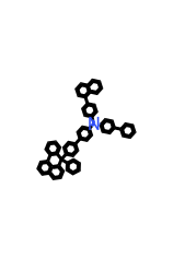 c1ccc(-c2ccc(N(c3ccc(-c4ccc(C5(c6ccccc6)c6ccccc6-c6cccc7cccc5c67)cc4)cc3)c3ccc(-c4cccc5ccccc45)cc3)cc2)cc1